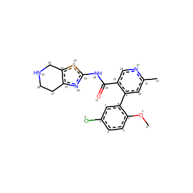 COc1ccc(Cl)cc1-c1cc(C)ncc1C(=O)Nc1nc2c(s1)CNCC2